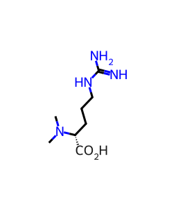 CN(C)[C@H](CCCNC(=N)N)C(=O)O